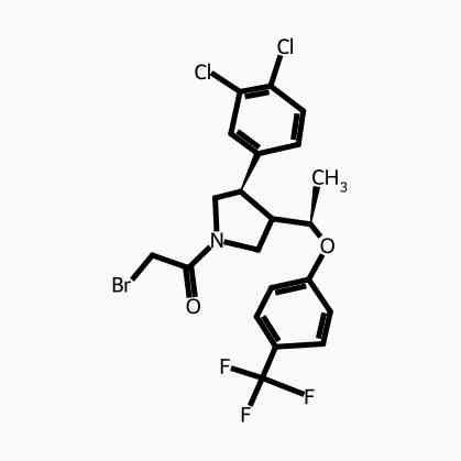 C[C@@H](Oc1ccc(C(F)(F)F)cc1)C1CN(C(=O)CBr)C[C@H]1c1ccc(Cl)c(Cl)c1